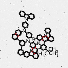 CC(C)(C)c1cc(-c2ccccc2)c(N2c3cc(-n4c5ccccc5c5ccccc54)ccc3B3c4ccc(N(c5ccccc5)c5ccc(-n6c7ccccc7c7ccccc76)cc5)cc4N(c4cc(-c5ccccc5)cc(-c5ccccc5)c4)c4cc(-n5c6ccccc6c6ccccc65)cc2c43)c(-c2ccccc2)c1